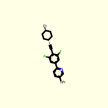 CCCc1ccc(-c2cc(F)c(C#C[C@H]3CC[C@H](CC)CC3)c(F)c2)nc1